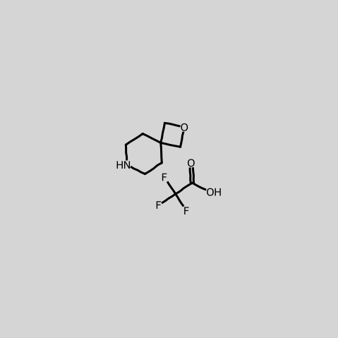 C1CC2(CCN1)COC2.O=C(O)C(F)(F)F